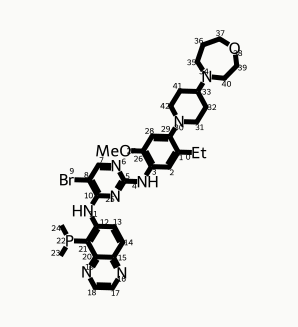 CCc1cc(Nc2ncc(Br)c(Nc3ccc4nccnc4c3P(C)C)n2)c(OC)cc1N1CCC(N2CCCOCC2)CC1